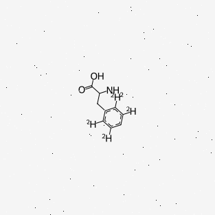 [2H]c1cc([2H])c([2H])c(CC(N)C(=O)O)c1[2H]